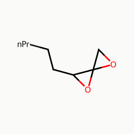 CCCCCC1OC12CO2